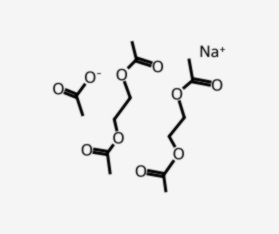 CC(=O)OCCOC(C)=O.CC(=O)OCCOC(C)=O.CC(=O)[O-].[Na+]